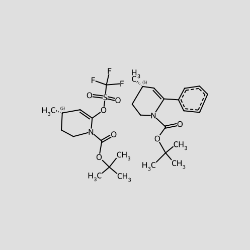 C[C@@H]1C=C(OS(=O)(=O)C(F)(F)F)N(C(=O)OC(C)(C)C)CC1.C[C@@H]1C=C(c2ccccc2)N(C(=O)OC(C)(C)C)CC1